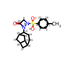 Cc1ccc(S(=O)(=O)N2CC(=O)N2C2CCC3CC4CC2CC34)cc1